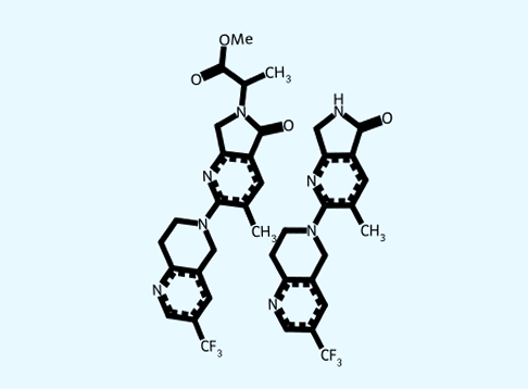 COC(=O)C(C)N1Cc2nc(N3CCc4ncc(C(F)(F)F)cc4C3)c(C)cc2C1=O.Cc1cc2c(nc1N1CCc3ncc(C(F)(F)F)cc3C1)CNC2=O